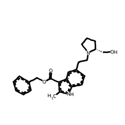 Cc1[nH]c2ccc(CCN3CCC[C@@H]3CO)cc2c1C(=O)OCc1ccccc1